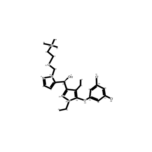 CCc1c([C@H](O)c2ccnn2COCC[Si](C)(C)C)nn(CC)c1Oc1cc(Cl)cc(Cl)c1